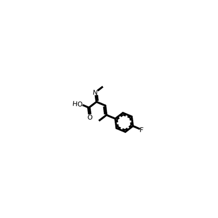 C/N=C(\C=C(/C)c1ccc(F)cc1)C(=O)O